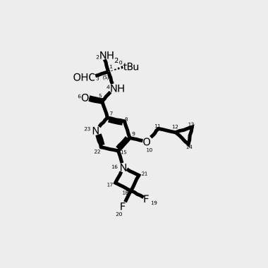 CC(C)(C)[C@@](N)(C=O)NC(=O)c1cc(OCC2CC2)c(N2CC(F)(F)C2)cn1